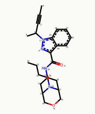 CC#CC(C)n1nc(C(=O)NC2CC3COCC(C2)N3CCCC)c2ccccc21